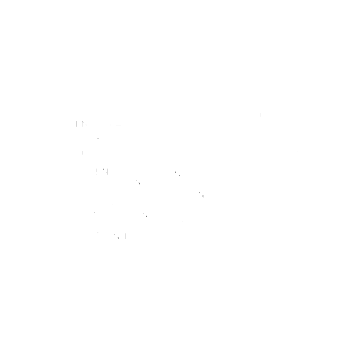 CCCC(C)(N)CNc1nc(-c2c(C)nc3c(OCc4c(F)cccc4F)cccn23)nc2c1C(C)(C)C(=O)N2